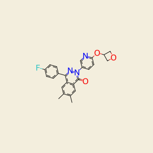 Cc1cc2c(-c3ccc(F)cc3)nn(-c3ccc(OC4COC4)nc3)c(=O)c2cc1C